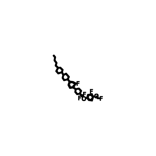 CCCCCC1CCC(C2CCC(c3ccc(C4CCC(C(F)(F)Oc5ccc(OCF)c(F)c5)CC4)c(F)c3)CC2)CC1